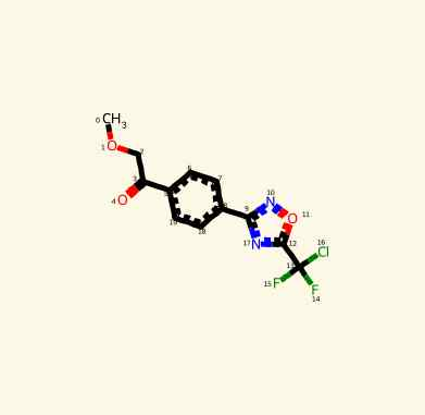 COCC(=O)c1ccc(-c2noc(C(F)(F)Cl)n2)cc1